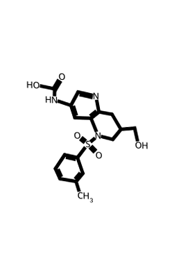 Cc1cccc(S(=O)(=O)N2CC(CO)Cc3ncc(NC(=O)O)cc32)c1